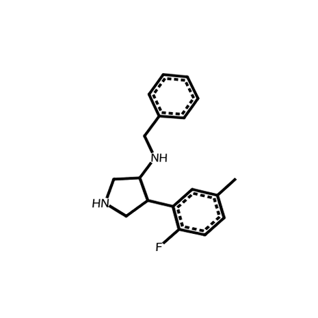 Cc1ccc(F)c(C2CNCC2NCc2ccccc2)c1